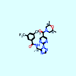 C[C@@H]1CN(C(=O)c2cnc(-n3ncnc3[C@H](C)NC(=O)c3cc(C(F)(F)F)cc(C(F)(F)F)c3)nc2)C[C@H](C)O1